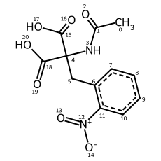 CC(=O)NC(Cc1ccccc1[N+](=O)[O-])(C(=O)O)C(=O)O